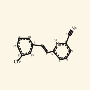 N#Cc1cccc(C=Cc2cccc(Cl)c2)n1